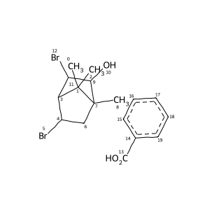 CC1(C)C2C(Br)CC1(C)C(O)C2Br.O=C(O)c1ccccc1